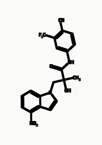 CC(O)(Cn1ccc2c([N+](=O)[O-])cccc21)C(=O)Nc1ccc(C#N)c(C(F)(F)F)c1